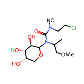 COCC(C)N(C(=O)N(CCCl)N=O)C1OC[C@H](O)[C@H](O)[C@H]1O